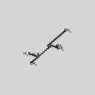 C=C(CCCCCCCCCc1ccc(CCCCCCCCCCCCCCCCC)c(CCCCN(C)C)c1)CC(CCCCCCC)CCCCCCC